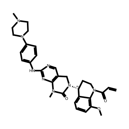 C=CC(=O)N1CC[C@@H](N2Cc3cnc(Nc4ccc(N5CCN(C)CC5)cc4)nc3N(C)C2=O)c2cccc(OC)c21